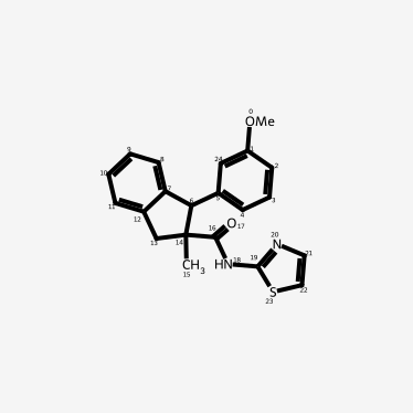 COc1cccc(C2c3ccccc3CC2(C)C(=O)Nc2nccs2)c1